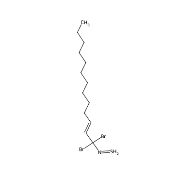 CCCCCCCCCC/C=C/C(Br)(Br)N=[SH2]